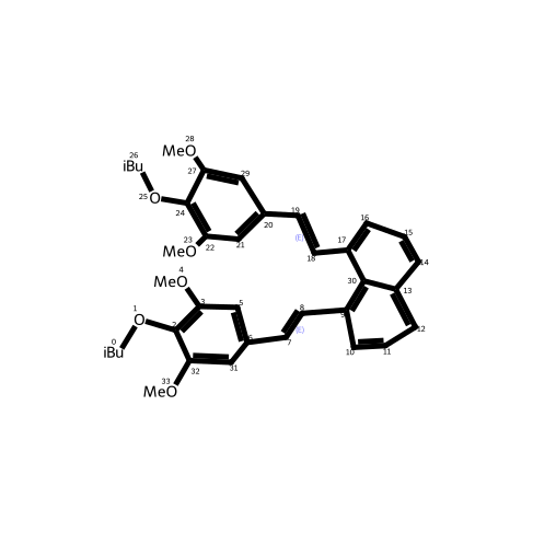 CCC(C)Oc1c(OC)cc(/C=C/c2cccc3cccc(/C=C/c4cc(OC)c(OC(C)CC)c(OC)c4)c23)cc1OC